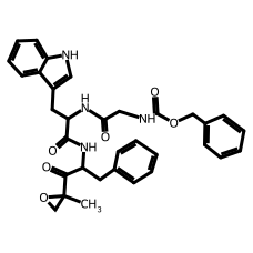 CC1(C(=O)C(Cc2ccccc2)NC(=O)C(Cc2c[nH]c3ccccc23)NC(=O)CNC(=O)OCc2ccccc2)CO1